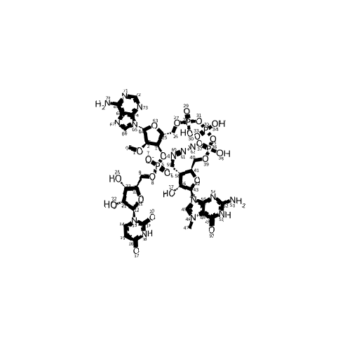 CO[C@@H]1[C@H](OP(=O)([O-])OC[C@H]2O[C@@H](n3ccc(=O)[nH]c3=O)[C@H](O)[C@@H]2O)[C@@H](COP(=O)(O)OP(=O)(O)OP(=O)(O)OC[C@H]2O[C@@H](n3c[n+](C)c4c(=O)[nH]c(N)nc43)[C@H](O)[C@@H]2CN=[N+]=[N-])O[C@H]1n1cnc2c(N)ncnc21